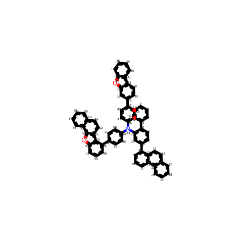 c1ccc(-c2ccc(-c3cccc4c3ccc3ccccc34)cc2N(c2ccc(-c3ccc4c(c3)oc3ccccc34)cc2)c2ccc(-c3cccc4oc5c6ccccc6ccc5c34)cc2)cc1